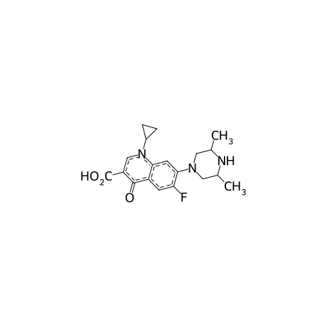 CC1CN(c2cc3c(cc2F)c(=O)c(C(=O)O)cn3C2CC2)CC(C)N1